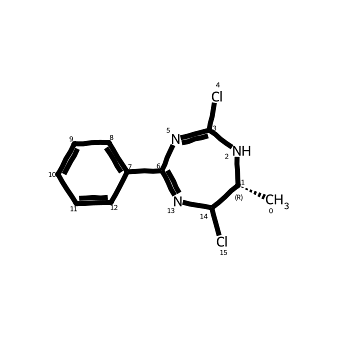 C[C@H]1NC(Cl)=NC(c2ccccc2)=NC1Cl